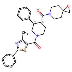 Cc1nc(-c2ccccc2)sc1C(=O)N1CC[C@@H](C(=O)N2CCC3(CC2)CO3)[C@H](c2ccccc2)C1